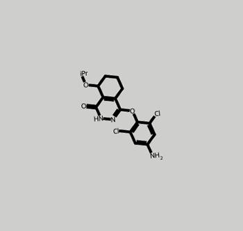 CC(C)OC1CCCc2c(Oc3c(Cl)cc(N)cc3Cl)n[nH]c(=O)c21